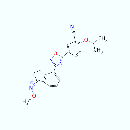 CO/N=C1/CCc2c1cccc2-c1noc(-c2ccc(OC(C)C)c(C#N)c2)n1